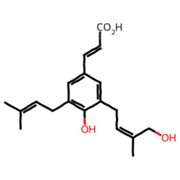 CC(C)=CCc1cc(/C=C/C(=O)O)cc(C/C=C(/C)CO)c1O